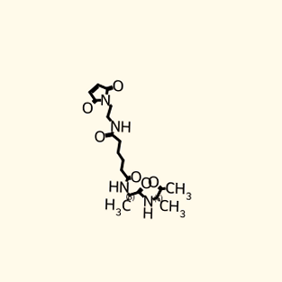 CC(=O)[C@H](C)NC(=O)[C@H](C)NC(=O)CCCCC(=O)NCCN1C(=O)C=CC1=O